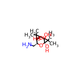 CC1(C)[C@]2(O)[C@@]3(O)C(C)(C)[C@@]3(O)[C@H](CN)O[C@]12O